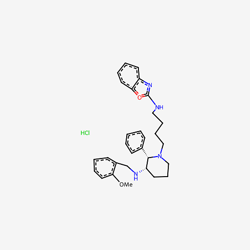 COc1ccccc1CN[C@H]1CCCN(CCCCNc2nc3ccccc3o2)[C@H]1c1ccccc1.Cl